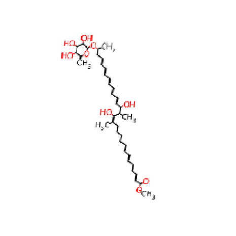 COC(=O)/C=C/C=C/C=C/C=C/CC/C=C/C(C)C(O)C(C)C(O)/C=C/C=C/C=C/C=C/C=C/CC(C)OC1OC(C)C(O)C(O)C1O